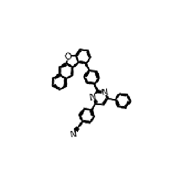 N#Cc1ccc(-c2cc(-c3ccccc3)nc(-c3ccc(-c4cccc5oc6cc7ccccc7cc6c45)cc3)n2)cc1